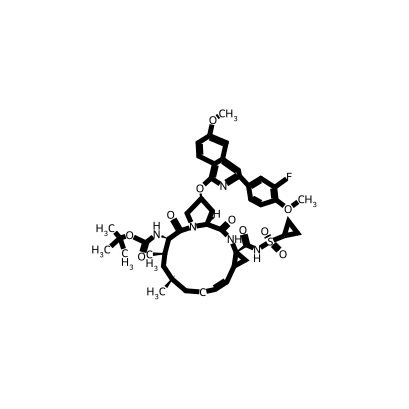 COc1ccc2c(O[C@@H]3C[C@H]4C(=O)N[C@]5(C(=O)NS(=O)(=O)C6CC6)CC5/C=C\CC[C@@H](C)C[C@@H](C)[C@H](NC(=O)OC(C)(C)C)C(=O)N4C3)nc(-c3ccc(OC)c(F)c3)cc2c1